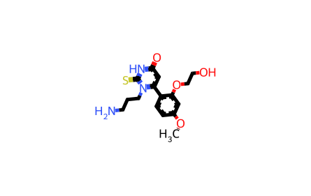 COc1ccc(-c2cc(=O)[nH]c(=S)n2CCCN)c(OCCO)c1